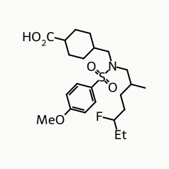 CCC(F)CCC(C)CN(CC1CCC(C(=O)O)CC1)S(=O)(=O)c1ccc(OC)cc1